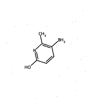 Bc1ccc(O)nc1C